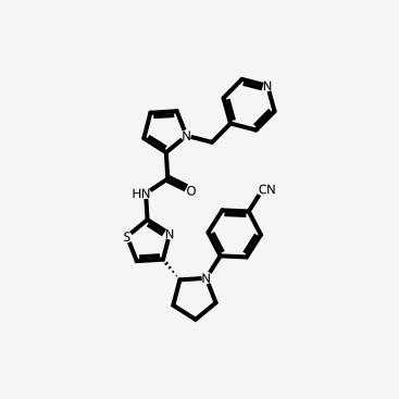 N#Cc1ccc(N2CCC[C@@H]2c2csc(NC(=O)c3cccn3Cc3ccncc3)n2)cc1